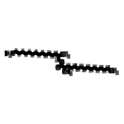 CCCCCCCCCCCCCCC(C)COC(=O)C(C)CCCCCCCCCCCCCC